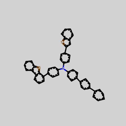 c1ccc(-c2ccc(-c3ccc(N(c4ccc(-c5cc6ccccc6s5)cc4)c4ccc(-c5cccc6c5sc5ccccc56)cc4)cc3)cc2)cc1